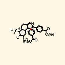 COC(=O)c1ccc(-c2ncc3c(n2)[C@@]2(c4cccc(C(=O)OC)c4)CC(C#N)C(=O)[C@@H](C)[C@@H]2CC3)cc1